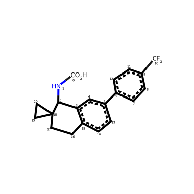 O=C(O)NC1c2cc(-c3ccc(C(F)(F)F)cc3)ccc2CCC12CC2